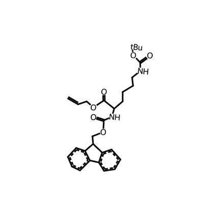 C=CCOC(=O)C(CCCCNC(=O)OC(C)(C)C)NC(=O)OCC1c2ccccc2-c2ccccc21